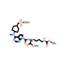 CNS(=O)(=O)CC1CCC(N(C)c2ncnc3c2ccn3C(=O)N[C@@H](CCCCNC(=O)OC(C)(C)C)C(=O)OC)CC1